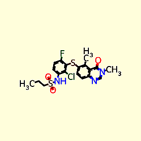 CCCS(=O)(=O)Nc1ccc(F)c(Sc2ccc3ncn(C)c(=O)c3c2C)c1Cl